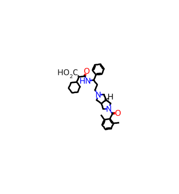 Cc1cccc(C)c1C(=O)N1CC2CN(CCC(NC(=O)C(C(=O)O)C3CCCCC3)c3ccccc3)C[C@H]2C1